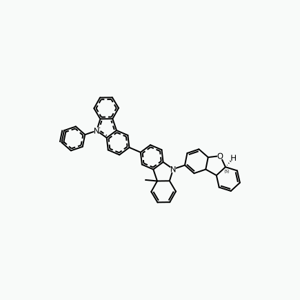 CC12C=CC=CC1N(C1=CC3C(C=C1)O[C@H]1C=CC=CC31)c1ccc(-c3ccc4c(c3)c3ccccc3n4-c3cc#ccc3)cc12